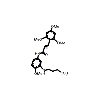 COc1cc(OC)c(/C=C/C(=O)Nc2ccc(OC)c(NCCCC(=O)O)c2)c(OC)c1